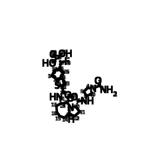 NC(=O)N1CC[C@@H](NC(=O)[C@@H]2CC[C@@H]3CCCC[C@H](NC(=O)c4cc5cc(C(F)P(=O)(O)O)ccc5s4)C(=O)N32)C1